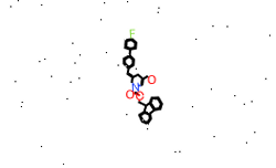 O=CC1=CN(C(=O)OCC2c3ccccc3-c3ccccc32)CC(=Cc2ccc(-c3ccc(F)cc3)cc2)C1